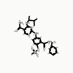 CC(C)C(C)Nc1nc(Nc2ccc(OS(C)(=O)=O)c(C(=O)N[C@H](C)c3ccccc3)c2)ncc1C(N)=O